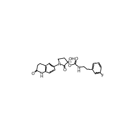 O=C1CCc2cc(N3CC[C@](O)(OC(=O)NCCc4cccc(F)c4)C3=O)ccc2N1